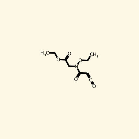 CCOC(=O)CN(OCC)C(=O)C=C=O